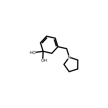 OC1(O)C=CC=C(CN2CCCC2)C1